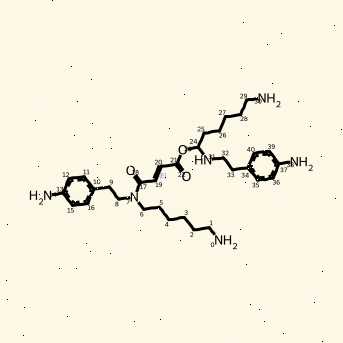 NCCCCCCN(CCc1ccc(N)cc1)C(=O)/C=C/C(=O)OC(CCCCCN)NCCc1ccc(N)cc1